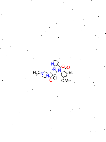 CCc1cc(OC)cc2nc(-c3cccnc3N3CCC(C)(C(=O)N4CCN(C)CC4)CC3)oc(=O)c12